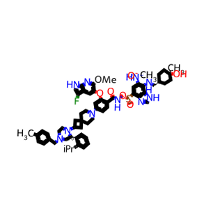 COc1nc2[nH]cc(F)c2cc1Oc1cc(N2CCC3(CC2)CC(N2CCN(Cc4ccc(C)cc4)C[C@H]2c2ccccc2C(C)C)C3)ccc1C(=O)NOS(=O)c1cc([NH+](C)[O-])c(NC[C@H]2CC[C@](C)(O)CC2)c2[nH]cnc12